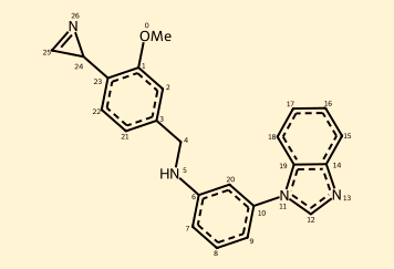 COc1cc(CNc2cccc(-n3cnc4ccccc43)c2)ccc1C1C=N1